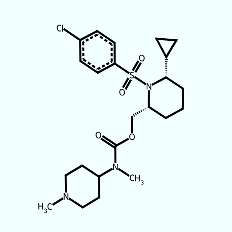 CN1CCC(N(C)C(=O)OC[C@H]2CCC[C@@H](C3CC3)N2S(=O)(=O)c2ccc(Cl)cc2)CC1